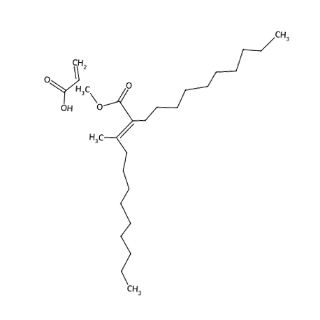 C=CC(=O)O.CCCCCCCCCCC(C(=O)OC)=C(C)CCCCCCCCC